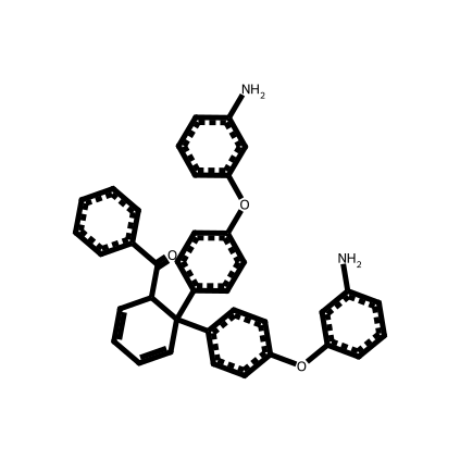 Nc1cccc(Oc2ccc(C3(c4ccc(Oc5cccc(N)c5)cc4)C=CC=CC3C(=O)c3ccccc3)cc2)c1